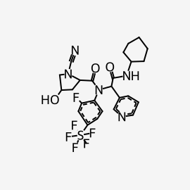 N#CN1CC(O)CC1C(=O)N(c1ccc(S(F)(F)(F)(F)F)cc1F)C(C(=O)NC1CCCCC1)c1cccnc1